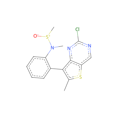 Cc1sc2cnc(Cl)nc2c1-c1ccccc1N(C)[S+](C)[O-]